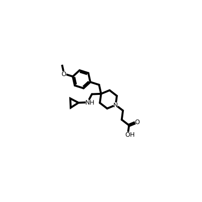 COc1ccc(CC2(CNC3CC3)CCN(CCC(=O)O)CC2)cc1